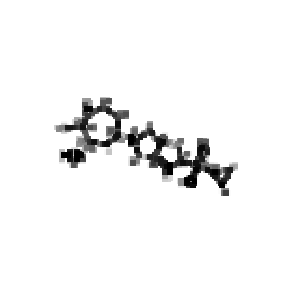 N[C@H]1C[C@@H](N2Cc3cn(S(=O)(=O)C4CC4)nc3C2)CCO[C@@H]1I